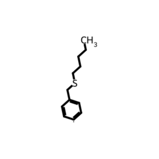 CCCCCSCc1cc[c]cc1